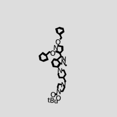 Cn1nc(-c2ccc(OCc3ccccc3)nc2OCc2ccccc2)c2cccc(N3CCC(CN4CCN(C(=O)OC(C)(C)C)CC4)CC3)c21